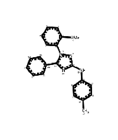 COc1ccccc1-[n+]1sc(Nc2ccc(C)cc2)nc1-c1ccccc1